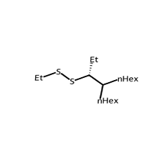 CCCCCCC(CCCCCC)[C@@H](CC)SSCC